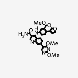 COC(=O)c1cc(Nc2c(C(N)=O)cnc3cc(-c4cnc(OC)nc4OC)ccc23)ccc1-c1ccoc1